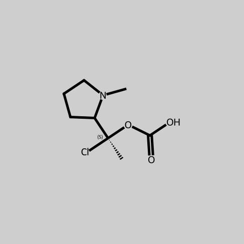 CN1CCCC1[C@](C)(Cl)OC(=O)O